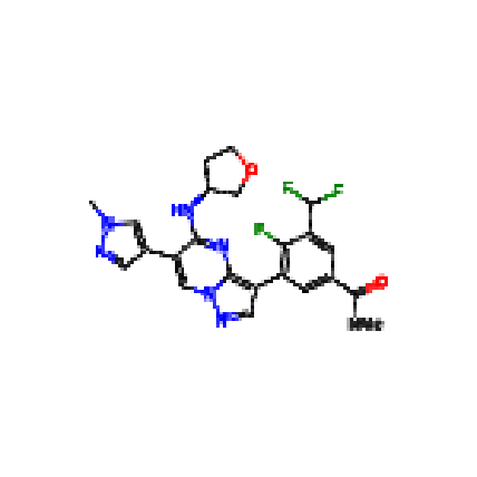 CNC(=O)c1cc(-c2cnn3cc(-c4cnn(C)c4)c(N[C@H]4CCOC4)nc23)c(F)c(C(F)F)c1